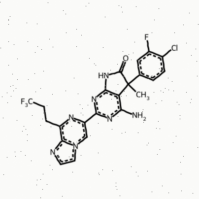 CC1(c2ccc(Cl)c(F)c2)C(=O)Nc2nc(-c3cn4ccnc4c(CCC(F)(F)F)n3)nc(N)c21